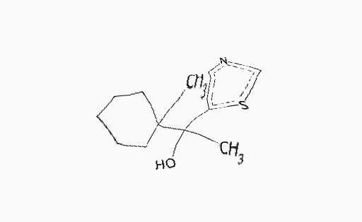 CC1(C(C)(O)c2cncs2)CCCCC1